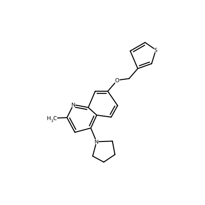 Cc1cc(N2CCCC2)c2ccc(OCc3ccsc3)cc2n1